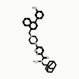 CN(CC12CC3CC(CC(C3)C1)C2)C(=O)c1ccc(N2CCN(Cc3ccc(-c4cccc(O)c4)c4ccccc34)CC2)nn1